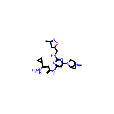 C=C(/C=C(\NN)C1CC1)Nc1cc(N2CC3CC2CN3C)nc(NCC2CC(C)=NO2)n1